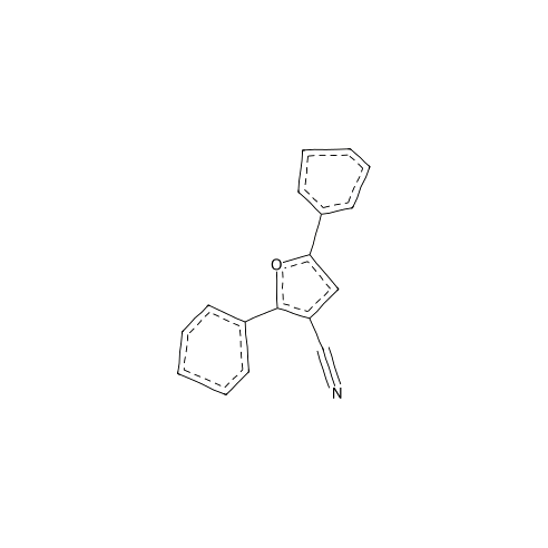 N#Cc1cc(-c2ccccc2)oc1-c1ccccc1